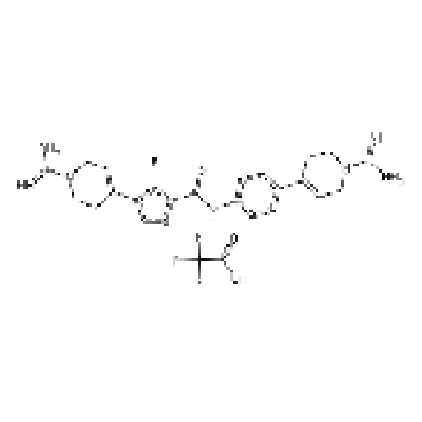 N=C(N)N1CC=C(c2ccc(NC(=O)c3scc(C4=CCN(C(=N)N)CC4)c3F)cc2)CC1.O=C(O)C(F)(F)F